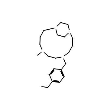 CN1CCCN2CCN(CCCN(Cc3ccc(CBr)cc3)CC1)CC2